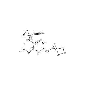 CC(C)C[C@H](NC(=O)OC1CC12CCC2)C(=O)NC1(C#N)CC1